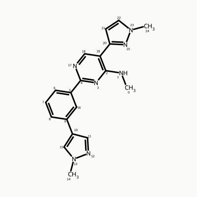 CNc1nc(-c2cccc(-c3cnn(C)c3)c2)ncc1-c1ccn(C)n1